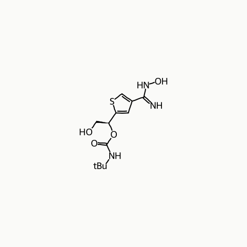 CC(C)(C)NC(=O)O[C@@H](CO)c1cc(C(=N)NO)cs1